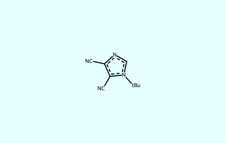 CC(C)(C)n1cnc(C#N)c1C#N